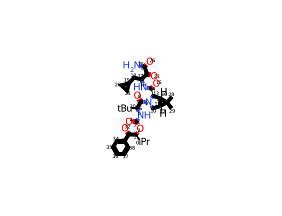 CC(C)[C@H](OC(=O)N[C@H](C(=O)N1C[C@H]2[C@@H]([C@H]1C(=O)NC(CC1CC1)C(=O)C(N)=O)C2(C)C)C(C)(C)C)C(=O)c1ccccc1